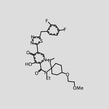 CCN1C(=O)c2c(O)c(=O)c(-c3nnc(Cc4ccc(F)cc4F)s3)cn2N(C)C12CCC(OCCOC)CC2